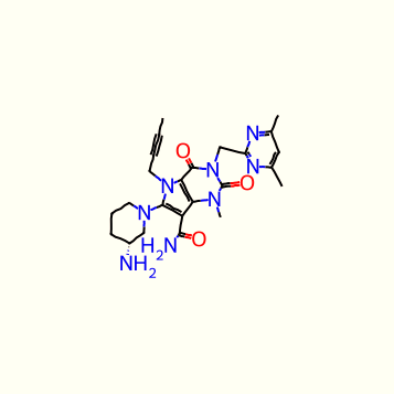 CC#CCn1c(N2CCC[C@@H](N)C2)c(C(N)=O)c2c1c(=O)n(Cc1nc(C)cc(C)n1)c(=O)n2C